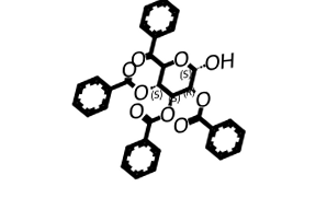 O=C(O[C@@H]1[C@@H](OC(=O)c2ccccc2)[C@@H](O)OC(C(=O)c2ccccc2)[C@H]1OC(=O)c1ccccc1)c1ccccc1